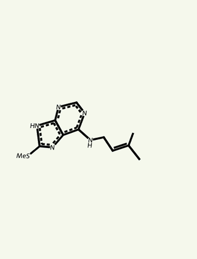 CSc1nc2c(NCC=C(C)C)ncnc2[nH]1